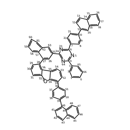 c1ccc(-c2nc(-c3ccc(-c4ccc5ccccc5c4)cc3)nc(-c3cc(-c4cccc5oc6c(-c7ccc(-c8cccc9ccccc89)cc7)cccc6c45)c4ccccc4c3)n2)cc1